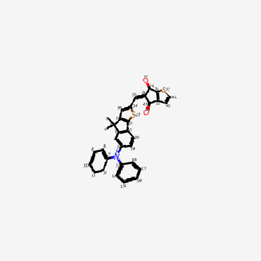 CC1(C)c2cc(N(C3=CC=CCC3)c3ccccc3)ccc2-c2sc(/C=C3\C(=O)c4ccsc4C3=O)cc21